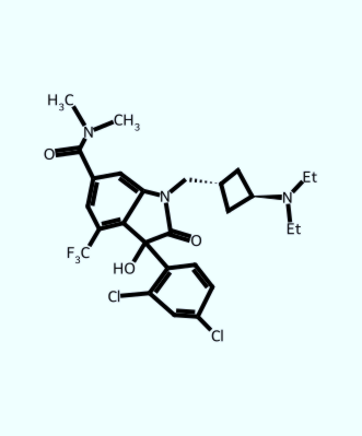 CCN(CC)[C@H]1C[C@H](CN2C(=O)C(O)(c3ccc(Cl)cc3Cl)c3c2cc(C(=O)N(C)C)cc3C(F)(F)F)C1